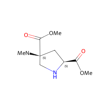 CN[C@]1(C(=O)OC)CN[C@H](C(=O)OC)C1